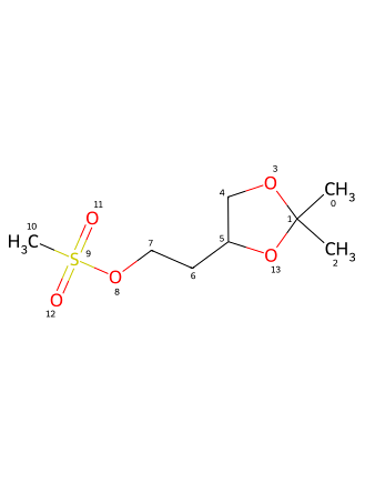 CC1(C)OCC(CCOS(C)(=O)=O)O1